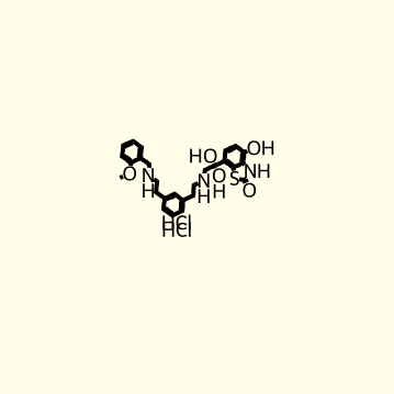 COc1ccccc1CNCCc1cccc(CCNCC(O)(O)c2ccc(O)c3[nH]c(=O)sc23)c1.Cl.Cl